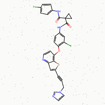 O=C(Nc1ccc(F)cc1)C1(C(=O)Nc2ccc(Oc3ccnc4cc(C#CCn5ccnc5)sc34)c(F)c2)CC1